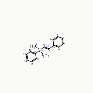 C[Si](C)(/C=C/c1ccccc1)c1ccccc1